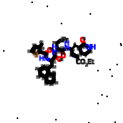 CCOC(=O)/C=C/[C@H](C[C@@H]1CCCNC1=O)NC(=O)[C@H](CC(C)C)NC(=O)C(Cc1cccc2ccccc12)NC(=O)c1sccc1C